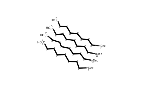 CCCCCCCCCCCCCCCCCC(=O)O.CCCCCCCCCCCCCCCCCC(=O)O.CCCCCCCCCCCCCCCCCC(=O)O.CCCCCCCCCCCCCCCCCC(=O)O